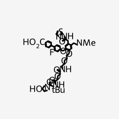 CNCCc1cc(OCCOCCNC(=O)COCC(=O)NC(C(=O)N2CC[C@@H](O)C2)C(C)(C)C)c(Oc2ccc(-c3ccc(C(=O)O)cc3)c(F)c2)cc1CC(=O)Nc1nccs1